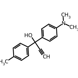 C#CC(O)(c1ccc(C)cc1)c1ccc(N(C)C)cc1